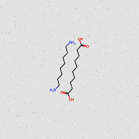 NCCCCCCCCN.O=C(O)CCCCCCCCC(=O)O